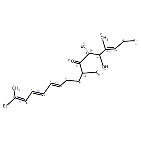 CC/C(C)=C/C=C/C=C/CCC(C)C(=O)[C@H](CC)C(O)/C(C)=C/CC(C)=O